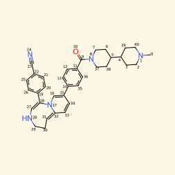 CN1CCC(C2CCN(C(=O)c3ccc(C4=CN5/C(c6ccc(C#N)cc6)=C\NCC/C=C/5C=C4)cc3)CC2)CC1